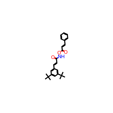 CC(C)(C)c1cc(/C=C/C(=O)NOC(=O)/C=C/c2ccccc2)cc(C(C)(C)C)c1